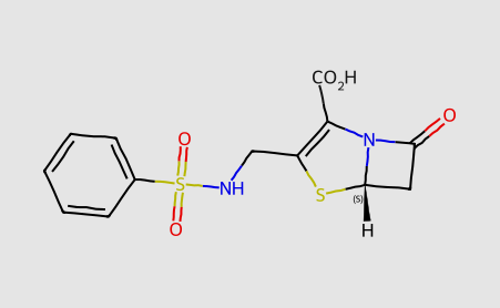 O=C(O)C1=C(CNS(=O)(=O)c2ccccc2)S[C@H]2CC(=O)N12